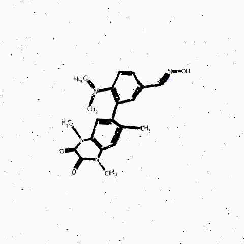 Cc1cc2c(cc1-c1cc(/C=N/O)ccc1N(C)C)n(C)c(=O)c(=O)n2C